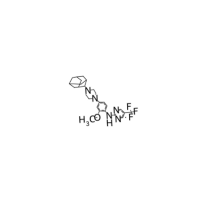 COc1cc(N2CCN(C3C4CC5CC(C4)CC3C5)CC2)ccc1Nc1n[c]c(C(F)(F)F)cn1